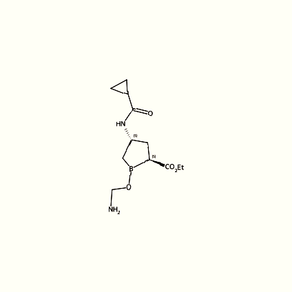 CCOC(=O)[C@@H]1C[C@@H](NC(=O)C2CC2)CB1OCN